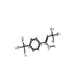 CO/C(=C\C(F)(F)F)c1ccc(C(F)(F)F)cc1